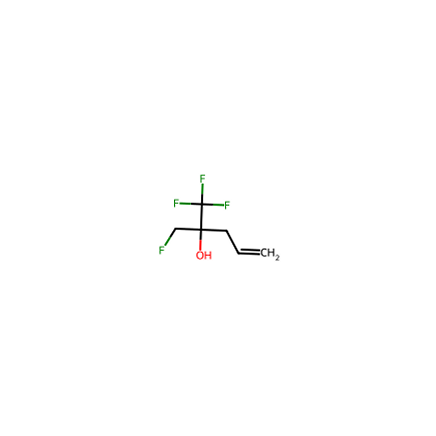 C=CCC(O)(CF)C(F)(F)F